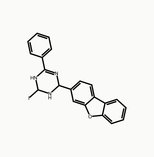 IC1NC(c2ccccc2)=NC(c2ccc3c(c2)oc2ccccc23)N1